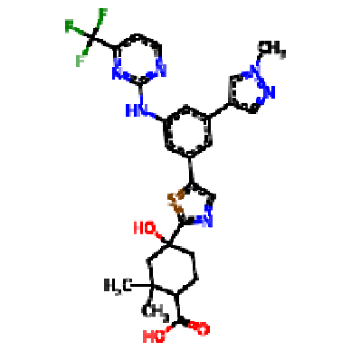 Cn1cc(-c2cc(Nc3nccc(C(F)(F)F)n3)cc(-c3cnc(C4(O)CCC(C(=O)O)C(C)(C)C4)s3)c2)cn1